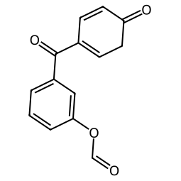 O=COc1cccc(C(=O)C2=CCC(=O)C=C2)c1